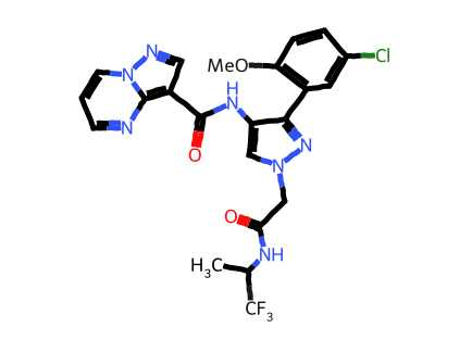 COc1ccc(Cl)cc1-c1nn(CC(=O)NC(C)C(F)(F)F)cc1NC(=O)c1cnn2cccnc12